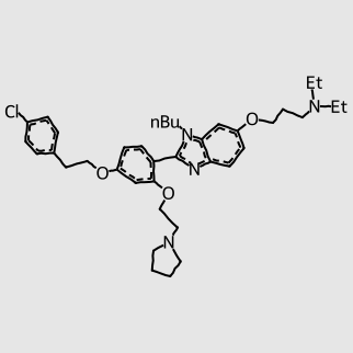 CCCCn1c(-c2ccc(OCCc3ccc(Cl)cc3)cc2OCCN2CCCC2)nc2ccc(OCCCN(CC)CC)cc21